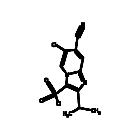 CC(C)c1nc2cc(C#N)c(Cl)cn2c1S(=O)(=O)Cl